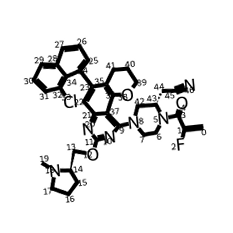 C=C(F)C(=O)N1CCN(c2nc(OC[C@H]3CCCN3C)nc3cc(-c4cccc5cccc(Cl)c45)c4c(c23)OCCC4)C[C@@H]1CC#N